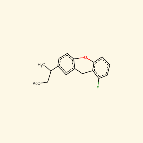 CC(=O)OCC(C)c1ccc2c(c1)Cc1c(F)cccc1O2